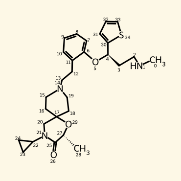 CNCC[C@@H](Oc1ccccc1CCN1CCC2(CC1)CN(C1CC1)C(=O)[C@@H](C)O2)c1cccs1